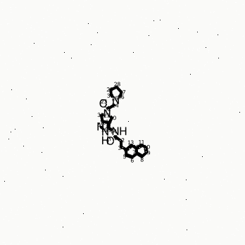 O=C(CCc1ccc2ccccc2c1)Nc1[nH]nc2c1CN(C(=O)CN1CCCCC1)C2